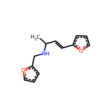 CC(/C=C/c1ccco1)NCc1ccco1